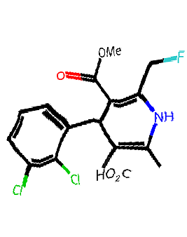 COC(=O)C1=C(CF)NC(C)=C(C(=O)O)C1c1cccc(Cl)c1Cl